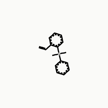 C=Cc1ccccc1[Si](C)(C)c1ccccc1